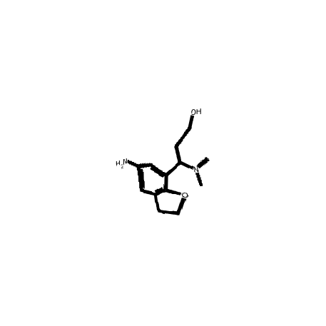 CN(C)C(CCO)c1cc(N)cc2c1OCC2